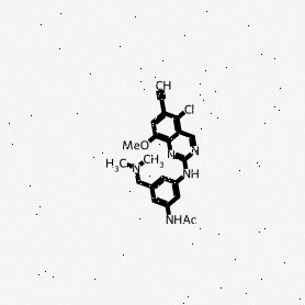 C#Cc1cc(OC)c2nc(Nc3cc(CN(C)C)cc(NC(C)=O)c3)ncc2c1Cl